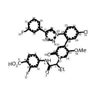 CCC(C(=O)Nc1ccc(C(=O)O)c(F)c1)n1cc(OC)c(-c2cc(Cl)ccc2-n2cc(-c3cccc(F)c3)nn2)cc1=O